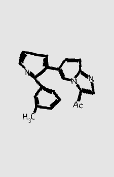 CC(=O)c1cnc2ccc(-c3cccnc3-c3cccc(C)c3)cn12